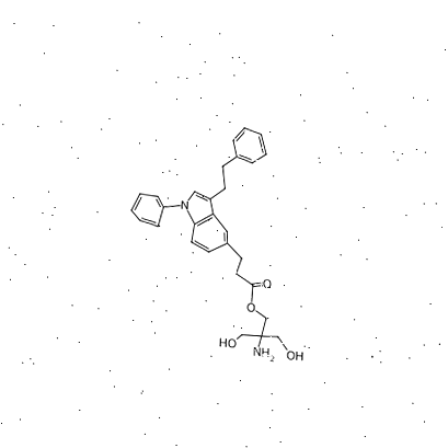 NC(CO)(CO)COC(=O)CCc1ccc2c(c1)c(CCc1ccccc1)cn2-c1ccccc1